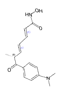 C[C@H](/C=C/C=C/C(=O)NO)C(=O)c1ccc(N(C)C)cc1